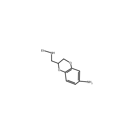 CCNCC1COc2cc(N)ccc2O1